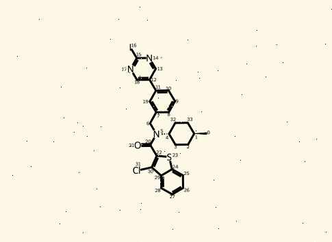 C[C@H]1CC[C@H](N(Cc2cccc(-c3cnc(I)nc3)c2)C(=O)c2sc3ccccc3c2Cl)CC1